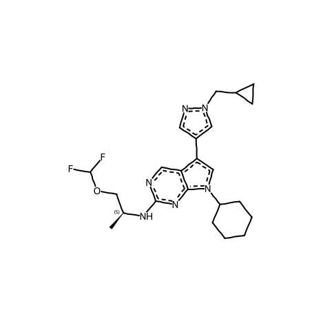 C[C@@H](COC(F)F)Nc1ncc2c(-c3cnn(CC4CC4)c3)cn(C3CCCCC3)c2n1